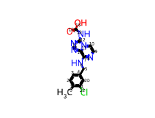 Cc1ccc(CNc2nccn3c(NC(=O)O)nnc23)cc1Cl